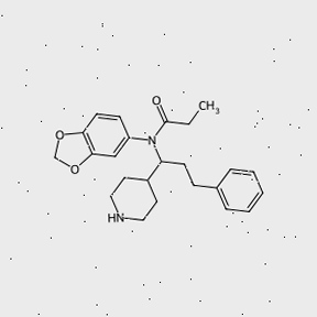 CCC(=O)N(c1ccc2c(c1)OCO2)C(CCc1ccccc1)C1CCNCC1